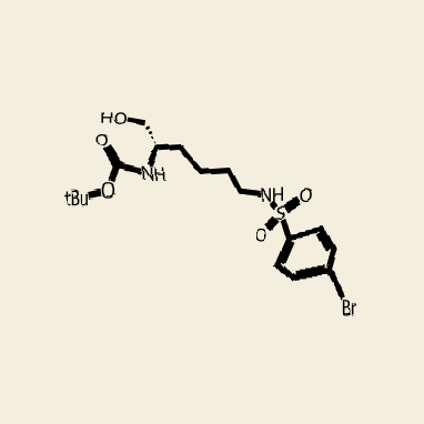 CC(C)(C)OC(=O)N[C@H](CO)CCCCNS(=O)(=O)c1ccc(Br)cc1